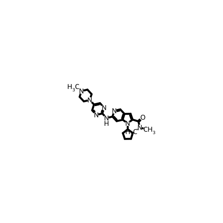 CN1CCN(c2cnc(Nc3cc4c(cn3)cc(C(=O)N(C)C)n4C3CCCC3)nc2)CC1